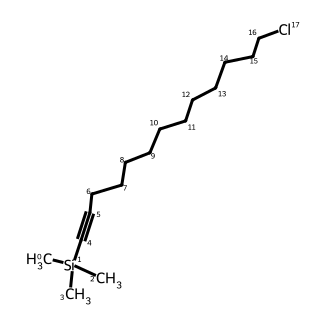 C[Si](C)(C)C#CCCCCCCCCCCCCl